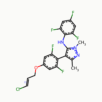 Cc1nn(C)c(Nc2c(F)cc(F)cc2F)c1-c1c(F)cc(OC/C=C/Cl)cc1F